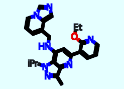 CCOc1ncccc1-c1cc(NCc2cccn3cncc23)c2c(n1)c(C)nn2C(C)C